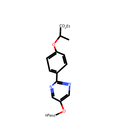 CCCCCOc1cnc(-c2ccc(OC(C)C(=O)OCC)cc2)nc1